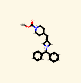 CC(C)(C)OC(=O)N1CCC(C=C2CN(C(c3ccccc3)c3ccccc3)C2)CC1